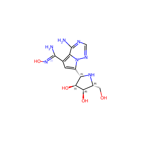 N/C(=N\O)c1cc([C@@H]2N[C@H](CO)[C@@H](O)[C@H]2O)n2ncnc(N)c12